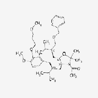 COCCCOc1cc(C[C@@H](C[C@H]2[C@H](C[C@H](COCc3ccccc3)C(C)C)OC(C)(C)N2C(C)=O)C(C)C)ccc1OC